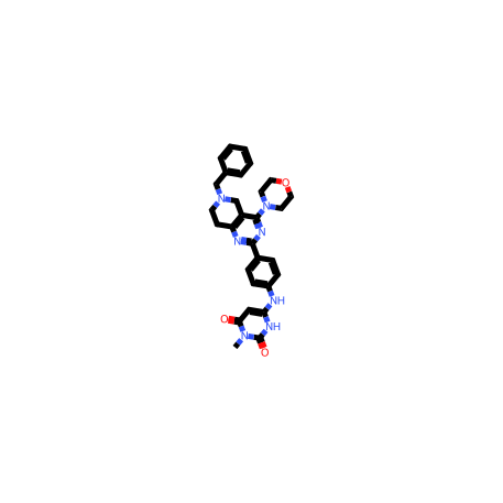 Cn1c(=O)cc(Nc2ccc(-c3nc4c(c(N5CCOCC5)n3)CN(Cc3ccccc3)CC4)cc2)[nH]c1=O